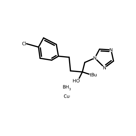 B.CC(C)(C)C(O)(CCc1ccc(Cl)cc1)Cn1cncn1.[Cu]